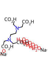 O.O.O.O.O.O.O.O=C(O)CN(CCN(CC(=O)O)CC(=O)O)CC(=O)O.[Na].[Na]